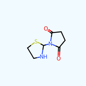 O=C1CCC(=O)N1C1NCCS1